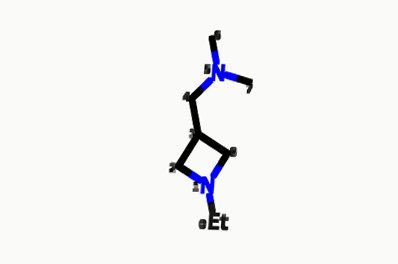 [CH2]CN1CC(CN(C)C)C1